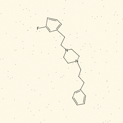 Fc1cccc(CCN2CCN(CCCc3ccccc3)CC2)c1